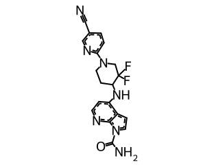 N#Cc1ccc(N2CCC(Nc3ccnc4c3ccn4C(N)=O)C(F)(F)C2)nc1